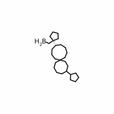 BCC1([C@@H]2CCCCC3(CCCCC(C4CCCC4)CC3)CCC2)CCCC1